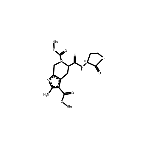 CC(C)(C)OC(=O)c1c(N)sc2c1CC(C(=O)N[C@H]1CCSC1=O)N(C(=O)OC(C)(C)C)C2